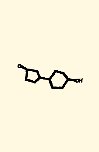 OC1CCC(C2CCC(Cl)C2)CC1